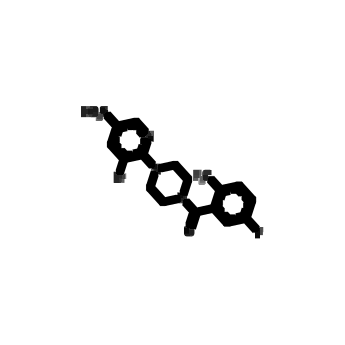 O=C(c1cc(F)ccc1C(F)(F)F)N1CCN(c2ncc(S(=O)(=O)O)cc2Br)CC1